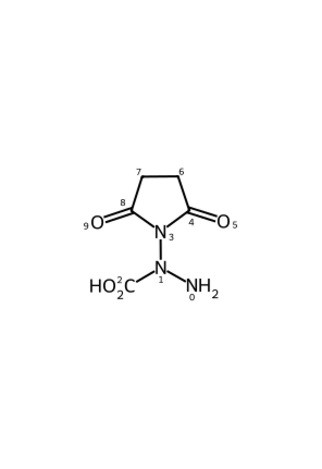 NN(C(=O)O)N1C(=O)CCC1=O